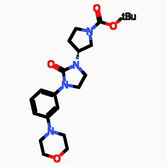 CC(C)(C)OC(=O)N1CC[C@@H](N2CCN(c3cccc(N4CCOCC4)c3)C2=O)C1